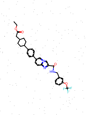 CCOC(=O)CC1CCC(c2ccc(-c3ccc4nc(C(=O)NCc5cccc(OC(F)(F)F)c5)cn4c3)cc2)CC1